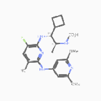 COc1cc(Nc2nc(N[C@H](C3CCC3)[C@H](C)NC(=O)O)c(F)cc2C#N)cc(OC)n1